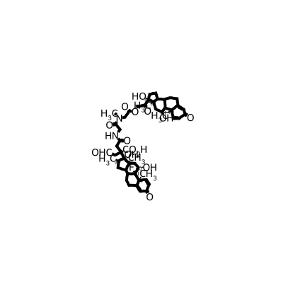 C[C@@H]1CC2C3CCC4=CC(=O)C=C[C@]4(C)[C@@]3(F)[C@@H](O)C[C@]2(C)[C@@]1(O)C(CC=O)(CC(=O)NCC(=O)N(C)CC(=O)OCC(=O)[C@@]1(O)CCC2C3CCC4=CC(=O)C=C[C@]4(C)C3[C@@H](O)C[C@@]21C)C(=O)O